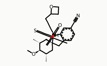 CO[C@H]1[C@H](C)C[C@@]2(Cc3ccc(C#N)cc3[C@]23NC(=S)N(CC2CCO2)C3=O)C[C@@H]1C